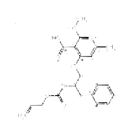 C=CCOC(=O)NC(COc1cc(C)nc(OC)c1C(=O)O)Cc1ccccc1